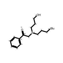 CC(C)(C)[CH]CCN(CCCO)CC(=O)c1ccccc1